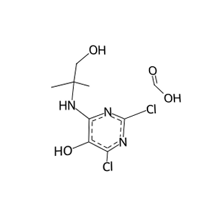 CC(C)(CO)Nc1nc(Cl)nc(Cl)c1O.O=CO